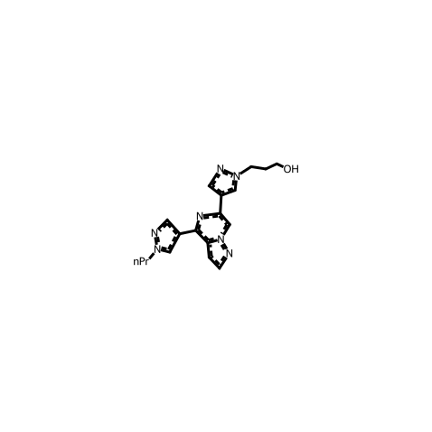 CCCn1cc(-c2nc(-c3cnn(CCCO)c3)cn3nccc23)cn1